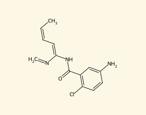 C=N/C(=C\C=C/C)NC(=O)c1cc(N)ccc1Cl